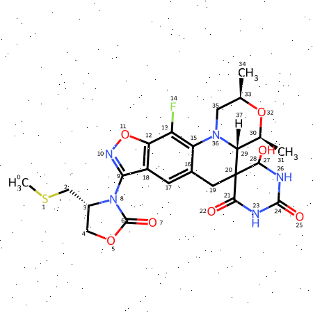 CSC[C@H]1COC(=O)N1c1noc2c(F)c3c(cc12)CC1(C(=O)NC(=O)NC1O)[C@H]1[C@H](C)O[C@H](C)CN31